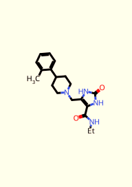 CCNC(=O)c1[nH]c(=O)[nH]c1CN1CCC(c2ccccc2C)CC1